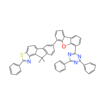 CC1(C)c2ccc(-c3cccc4c3oc3c(-c5nc(-c6ccccc6)nc(-c6ccccc6)n5)cccc34)cc2-c2ccc3sc(-c4ccccc4)nc3c21